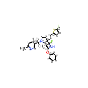 Cc1ccc(C(C)(C)N2CCC(CCc3ccc(F)s3)(C3(F)C=C(Oc4ccccc4)N3)C2)cn1